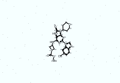 CC(C)(C)OC(=O)N1CC(Nc2nc(-n3cnc4ccc(Cl)cc43)nc3c2[nH]c(=O)n3C2CCOCC2)C1